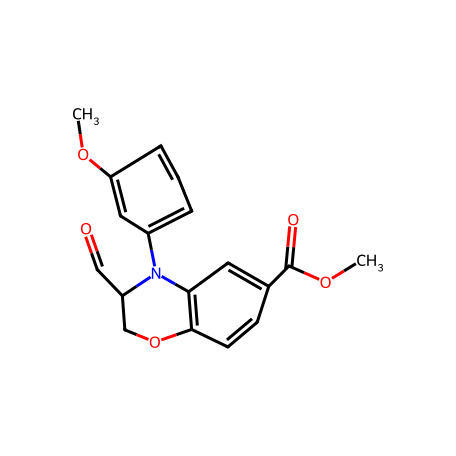 COC(=O)c1ccc2c(c1)N(c1cccc(OC)c1)C(C=O)CO2